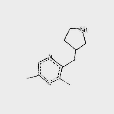 Cc1cnc(CC2CCNC2)c(C)n1